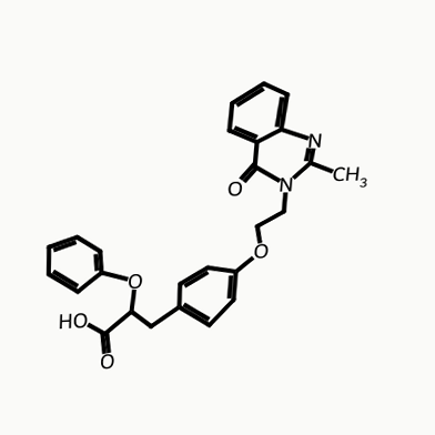 Cc1nc2ccccc2c(=O)n1CCOc1ccc(CC(Oc2ccccc2)C(=O)O)cc1